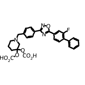 O=C(O)OC1(OC(=O)O)CCCN(Cc2ccc(-c3noc(-c4ccc(-c5ccccc5)c(F)c4)n3)cc2)C1